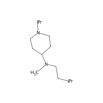 CC(C)CCN(C)C1CCN(C(C)C)CC1